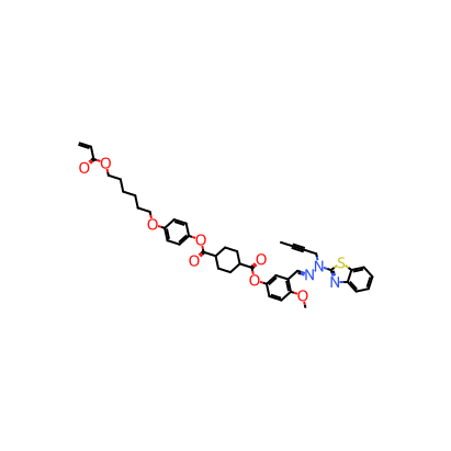 C=CC(=O)OCCCCCCOc1ccc(OC(=O)C2CCC(C(=O)Oc3ccc(OC)c(/C=N/N(CC#CC)c4nc5ccccc5s4)c3)CC2)cc1